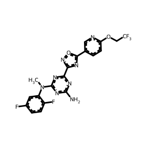 CN(c1nc(N)nc(-c2noc(-c3ccc(OCC(F)(F)F)nc3)n2)n1)c1cc(F)ccc1F